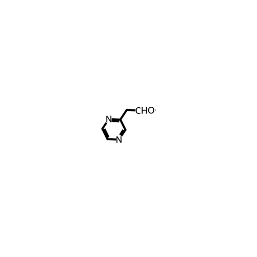 O=[C]Cc1cnccn1